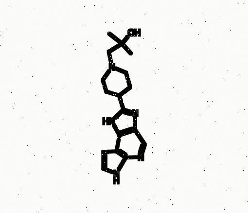 CC(C)(O)CN1CCC(c2nc3cnc4[nH]ccc4c3[nH]2)CC1